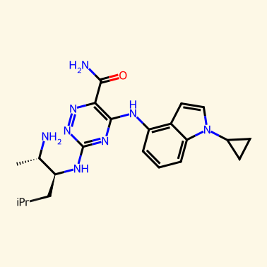 CC(C)C[C@H](Nc1nnc(C(N)=O)c(Nc2cccc3c2ccn3C2CC2)n1)[C@H](C)N